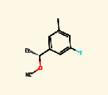 CC[C@@H](OC#N)c1cc(C)cc(F)c1